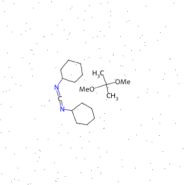 C(=NC1CCCCC1)=NC1CCCCC1.COC(C)(C)OC